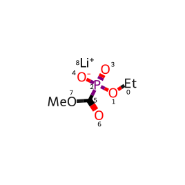 CCOP(=O)([O-])C(=O)OC.[Li+]